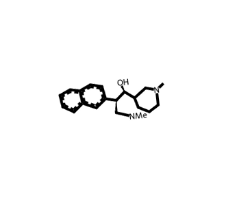 CNC[C@@H](c1ccc2ccccc2c1)[C@@H](O)C1CCCN(C)C1